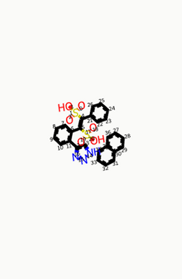 O=S(=O)(O)C(=C(c1ccccc1-c1c[nH]nn1)S(=O)(=O)O)c1ccccc1.c1ccc2ccccc2c1